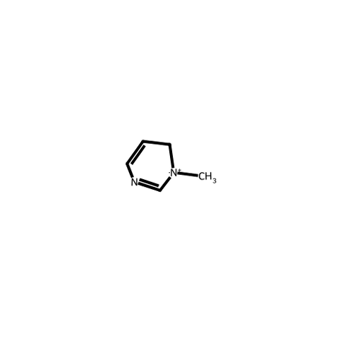 C[N+]1C=NC=CC1